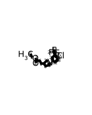 CCOC(=O)CCC1CCN(c2ccc(Cl)c(C(F)(F)F)c2)C1